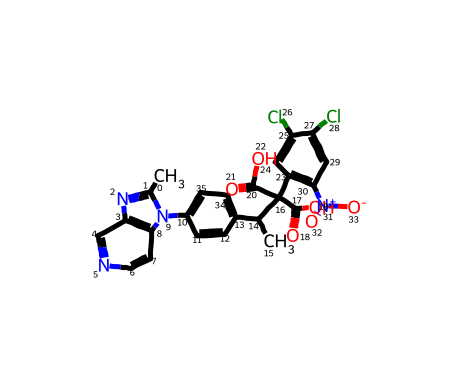 Cc1nc2cnccc2n1-c1ccc(C(C)C(C(=O)O)(C(=O)O)c2cc(Cl)c(Cl)cc2[N+](=O)[O-])cc1